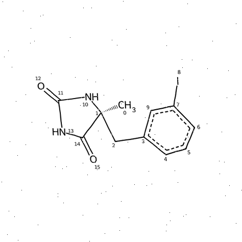 C[C@@]1(Cc2cccc(I)c2)NC(=O)NC1=O